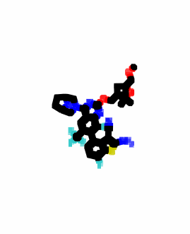 COCC12CC(COc3nc(N4CC5CCC(C4)N5)c4cc(C(F)(F)F)c(-c5ccc(F)c6sc(N)c(C#N)c56)c(F)c4n3)(C1)C(C)(C)O2